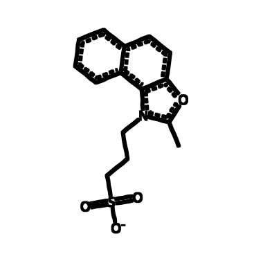 Cc1oc2ccc3ccccc3c2[n+]1CCCS(=O)(=O)[O-]